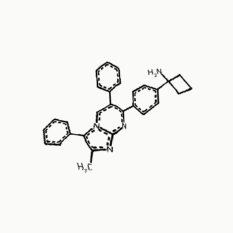 Cc1nc2nc(-c3ccc(C4(N)CCC4)cc3)c(-c3ccccc3)cn2c1-c1ccccc1